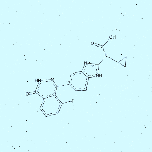 O=C(O)N(c1nc2cc(-c3n[nH]c(=O)c4cccc(F)c34)ccc2[nH]1)C1CC1